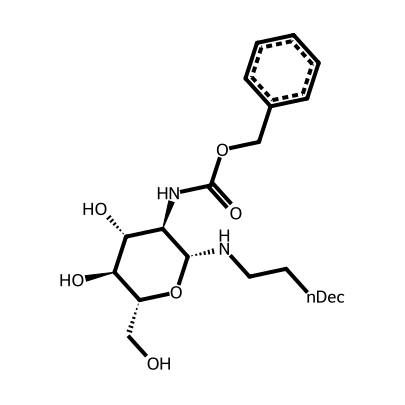 CCCCCCCCCCCCN[C@@H]1O[C@H](CO)[C@@H](O)[C@H](O)[C@H]1NC(=O)OCc1ccccc1